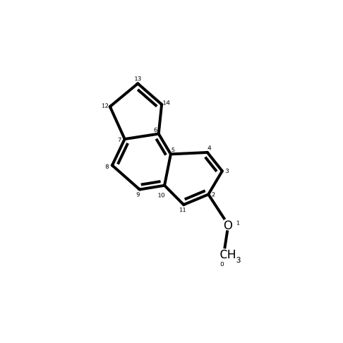 COc1ccc2c3c(ccc2c1)CC=C3